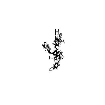 CC(C)(CCc1cc(CN2CCOCC2)cc2c(O)c(C(=O)NCc3ccc(Cl)cc3)nnc12)N1CNC(=S)NC1